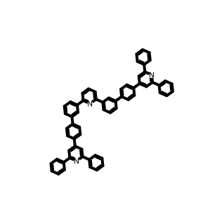 c1ccc(-c2cc(-c3ccc(-c4cccc(-c5cccc(-c6cccc(-c7ccc(-c8cc(-c9ccccc9)nc(-c9ccccc9)c8)cc7)c6)n5)c4)cc3)cc(-c3ccccc3)n2)cc1